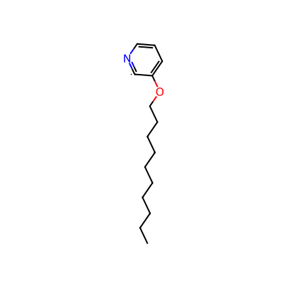 CCCCCCCCCCOc1[c]nccc1